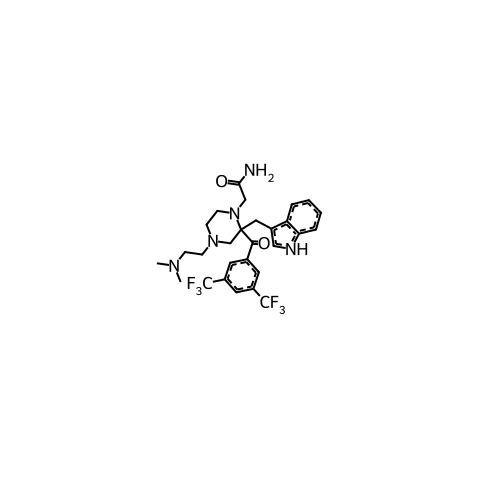 CN(C)CCN1CCN(CC(N)=O)C(Cc2c[nH]c3ccccc23)(C(=O)c2cc(C(F)(F)F)cc(C(F)(F)F)c2)C1